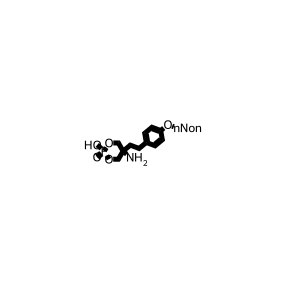 CCCCCCCCCOc1ccc(CCC2(N)COP(=O)(O)OC2)cc1